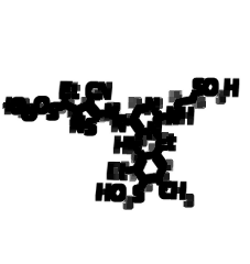 CCc1cc(C)c(S(=O)(=O)O)c(CC)c1Nc1nc(NCCS(=O)(=O)O)ncc1N=Nc1snc(C(CC)SOOO)c1C#N